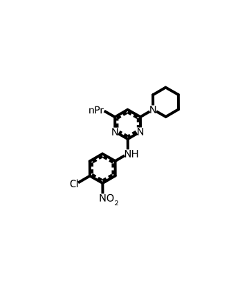 CCCc1cc(N2CCCCC2)nc(Nc2ccc(Cl)c([N+](=O)[O-])c2)n1